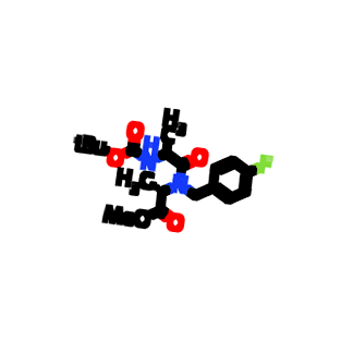 COC(=O)[C@H](C)N(Cc1ccc(F)cc1)C(=O)C(C)NC(=O)OC(C)(C)C